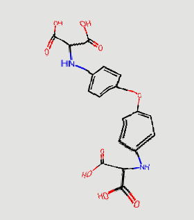 O=C(O)C(Nc1ccc(Oc2ccc(NC(C(=O)O)C(=O)O)cc2)cc1)C(=O)O